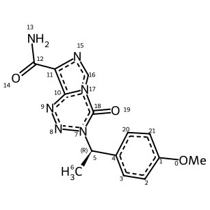 COc1ccc([C@@H](C)n2nnc3c(C(N)=O)ncn3c2=O)cc1